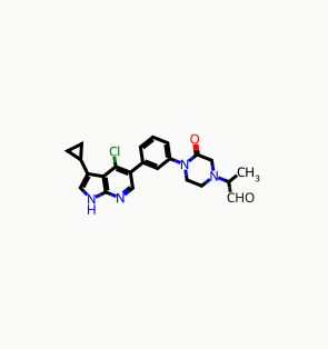 CC(C=O)N1CCN(c2cccc(-c3cnc4[nH]cc(C5CC5)c4c3Cl)c2)C(=O)C1